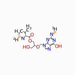 [2H]/P=N/[C@H](C(=O)OCC(CO)OCn1cnc2c(O)nc(/N=P/[3H])nc21)C(C)C